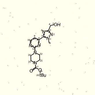 Cn1nc(CO)nc1-c1ccnc(N2CCN(C(=O)OC(C)(C)C)CC2)n1